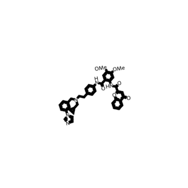 COc1cc(NC(=O)c2cc(=O)c3ccccc3o2)c(C(=O)Nc2ccc(CCN(Cc3cccc(-n4ccnc4)c3)CC3CC3)cc2)cc1OC